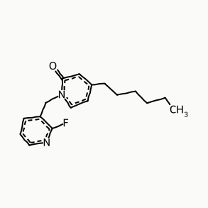 CCCCCCc1ccn(Cc2cccnc2F)c(=O)c1